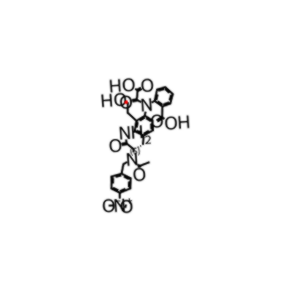 CC(=O)N(Cc1ccc([N+](=O)[O-])cc1)[C@@H](Cc1ccc(N(C(=O)C(=O)O)c2ccccc2C(=O)O)c(CCO)c1)C(N)=O